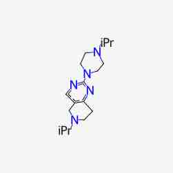 CC(C)N1CCN(c2ncc3c(n2)CCN(C(C)C)C3)CC1